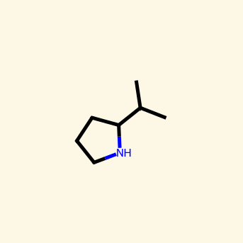 C[C](C)C1CCCN1